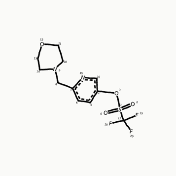 O=S(=O)(Oc1ccc(CN2CCOCC2)nc1)C(F)(F)F